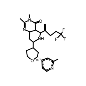 C=C(CCC(F)(F)F)C1NC(C2CCO[C@@H](c3ccnc(C)c3)C2)CC2N=C(C)N(C)C(=O)C21